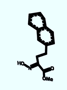 COC(=O)/C(CCc1ccc2ccccc2c1)=N/O